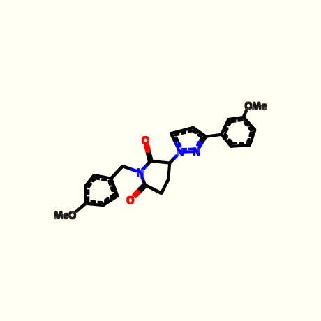 COc1ccc(CN2C(=O)CCC(n3ccc(-c4cccc(OC)c4)n3)C2=O)cc1